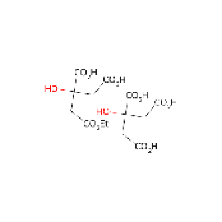 CCOC(=O)CC(O)(CC(=O)O)C(=O)O.O=C(O)CC(O)(CC(=O)O)C(=O)O